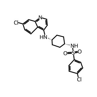 O=S(=O)(N[C@H]1CC[C@@H](Nc2ccnc3cc(Cl)ccc23)CC1)c1ccc(Cl)cc1